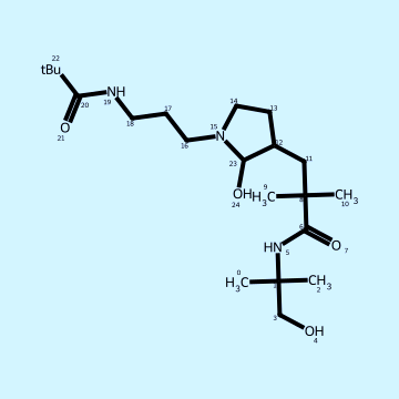 CC(C)(CO)NC(=O)C(C)(C)CC1CCN(CCCNC(=O)C(C)(C)C)C1O